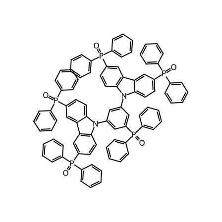 O=P(c1ccccc1)(c1ccccc1)c1cc(-n2c3ccc(P(=O)(c4ccccc4)c4ccccc4)cc3c3cc(P(=O)(c4ccccc4)c4ccccc4)ccc32)cc(-n2c3ccc(P(=O)(c4ccccc4)c4ccccc4)cc3c3cc(P(=O)(c4ccccc4)c4ccccc4)ccc32)c1